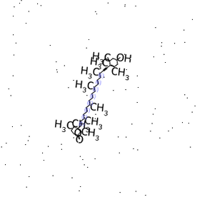 CC1=C(C#C/C(C)=C/C=C/C(C)=C/C=C/C=C(C)/C=C/C=C(C)/C=C/C23OC(CC2(C)C)C(=O)C3C)C(C)(C)CC(O)C1